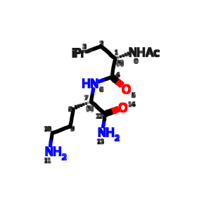 CC(=O)N[C@@H](CC(C)C)C(=O)N[C@@H](CCCN)C(N)=O